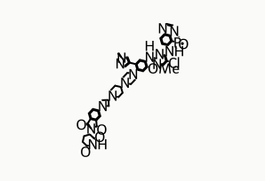 COc1cc(N2CCN(C3CCN(C4CN(c5ccc6c(c5)C(=O)N(C5CCC(=O)NC5=O)C6=O)C4)CC3)CC2)c(-c2cnn(C)c2)cc1Nc1ncc(Cl)c(Nc2ccc3nccnc3c2P(C)(C)=O)n1